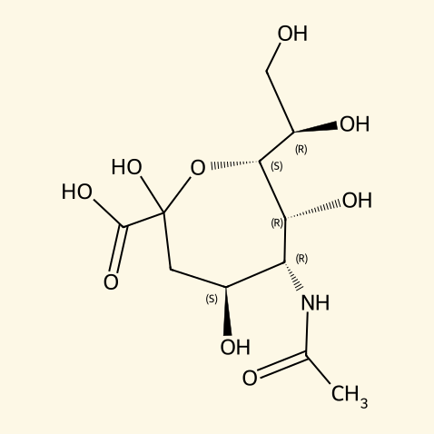 CC(=O)N[C@H]1[C@@H](O)[C@@H]([C@H](O)CO)OC(O)(C(=O)O)C[C@@H]1O